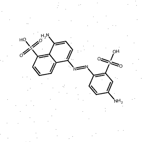 Nc1ccc(N=Nc2ccc(N)c3c(S(=O)(=O)O)cccc23)c(S(=O)(=O)O)c1